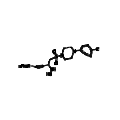 CCCCCC#CC(CS(=O)(=O)N1CCN(c2ccc(Cl)cc2)CC1)NO